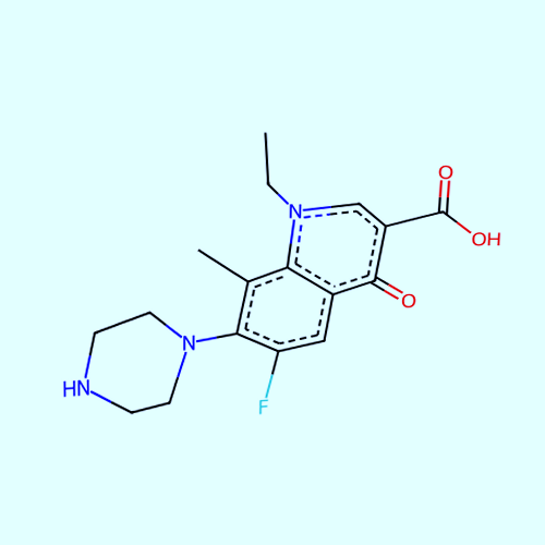 CCn1cc(C(=O)O)c(=O)c2cc(F)c(N3CCNCC3)c(C)c21